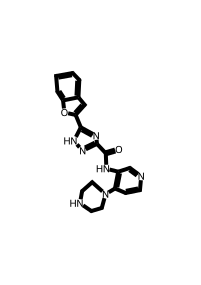 O=C(Nc1cnccc1N1CCNCC1)c1n[nH]c(-c2cc3ccccc3o2)n1